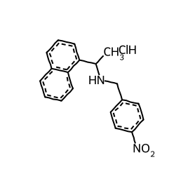 CC(NCc1ccc([N+](=O)[O-])cc1)c1cccc2ccccc12.Cl